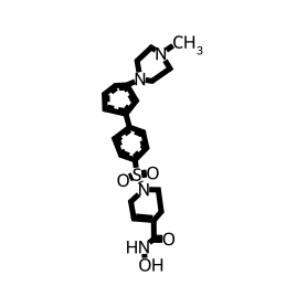 CN1CCN(c2cccc(-c3ccc(S(=O)(=O)N4CC=C(C(=O)NO)CC4)cc3)c2)CC1